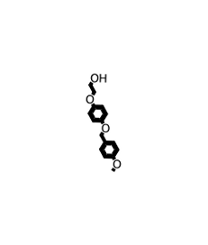 COc1ccc(COc2ccc(OCCO)cc2)cc1